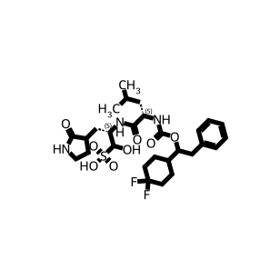 CC(C)C[C@H](NC(=O)OC(Cc1ccccc1)C1CCC(F)(F)CC1)C(=O)N[C@@H](CC1CCNC1=O)C(O)S(=O)(=O)O